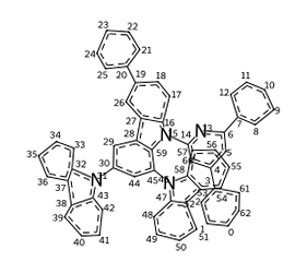 c1ccc(-c2cc(-c3ccccc3)nc(-n3c4ccc(-c5ccccc5)cc4c4cc(-n5c6ccccc6c6ccccc65)cc(-n5c6ccccc6c6ccccc65)c43)c2)cc1